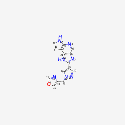 c1cc2c(ncc3nc(-c4cnn(Cc5cocn5)c4)[nH]c32)[nH]1